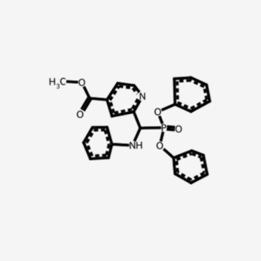 COC(=O)c1ccnc(C(Nc2ccccc2)P(=O)(Oc2ccccc2)Oc2ccccc2)c1